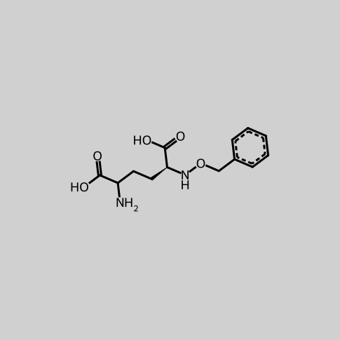 NC(CC[C@H](NOCc1ccccc1)C(=O)O)C(=O)O